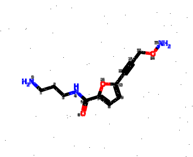 NCCCNC(=O)c1ccc(C#CCON)o1